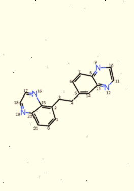 c1cc(CCc2ccc3nccnc3c2)c2nccnc2c1